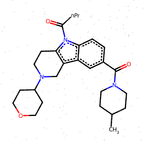 CCCC(=O)n1c2c(c3cc(C(=O)N4CCC(C)CC4)ccc31)CN(C1CCOCC1)CC2